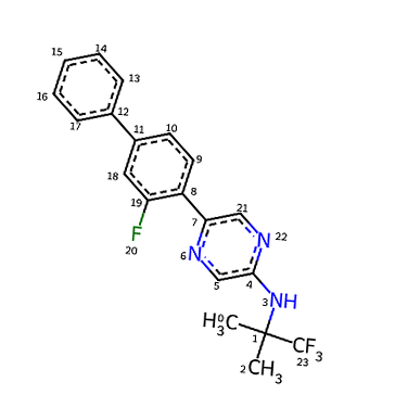 CC(C)(Nc1cnc(-c2ccc(-c3ccccc3)cc2F)cn1)C(F)(F)F